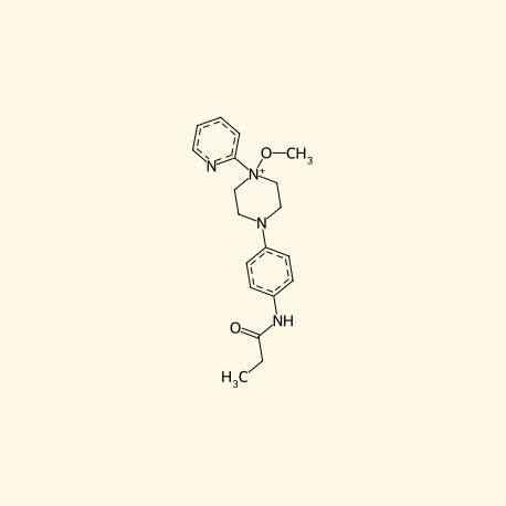 CCC(=O)Nc1ccc(N2CC[N+](OC)(c3ccccn3)CC2)cc1